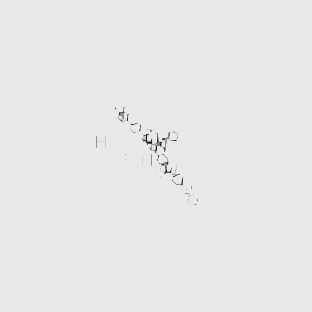 CC[C@@H](c1ccccc1)N1Cc2cc3c(cc2C[C@H]1C(=O)NC(Cc1ccc(-c2ccnc(C)c2C)cc1)C(=O)O)OC[C@H](c1ccc(OCC2CCCCC2)cc1)O3